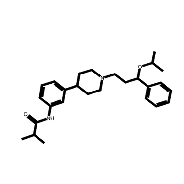 CC(C)OC(CCN1CCC(c2cccc(NC(=O)C(C)C)c2)CC1)c1ccccc1